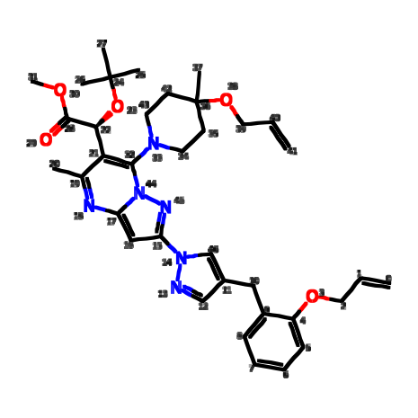 C=CCOc1ccccc1Cc1cnn(-c2cc3nc(C)c([C@H](OC(C)(C)C)C(=O)OC)c(N4CCC(C)(OCC=C)CC4)n3n2)c1